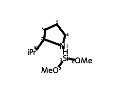 CO[SiH](OC)N1CCCC1C(C)C